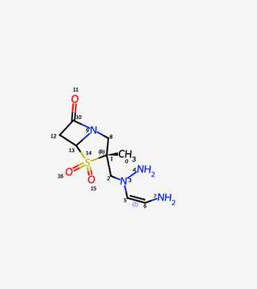 C[C@]1(CN(N)/C=C\N)CN2C(=O)CC2S1(=O)=O